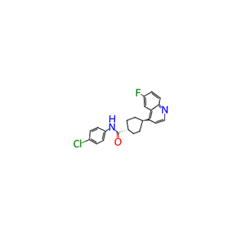 O=C(Nc1ccc(Cl)cc1)[C@H]1CC[C@H](c2ccnc3ccc(F)cc32)CC1